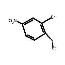 CCSc1ccc([N+](=O)[O-])cc1Br